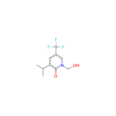 CC(C)c1cc(C(F)(F)F)cn(CO)c1=O